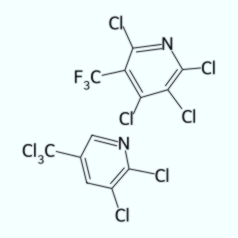 Clc1cc(C(Cl)(Cl)Cl)cnc1Cl.FC(F)(F)c1c(Cl)nc(Cl)c(Cl)c1Cl